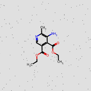 CCOC(=O)c1cnc(C)c(N)c1C(=O)OCC